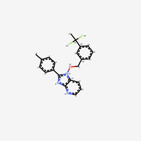 Cc1ccc(-c2nc3ncccc3n2OCc2cccc(C(C)(F)F)c2)cc1